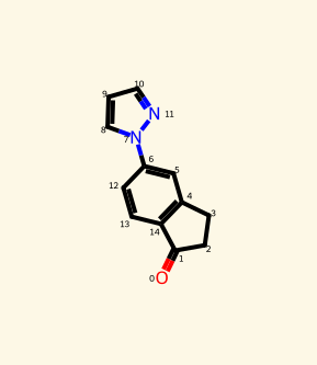 O=C1CCc2cc(-n3cccn3)ccc21